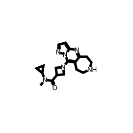 CN(C(=O)C1CN(c2c3c(nc4ccnn24)CCNCC3)C1)C1CC1